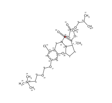 COC(=O)[C@@]1(C)CCCN1N(Cc1c(Cl)cc(OCOCC[Si](C)(C)C)cc1Cl)C(=O)CC(=O)OCC(C)C